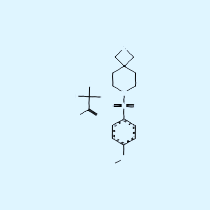 COc1ccc(S(=O)(=O)N2CCC3(CC2)CNC3)cc1.O=C(O)C(F)(F)F